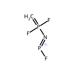 C=P(F)(F)/N=P/F